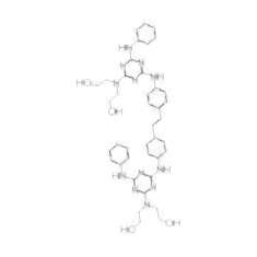 OCCN(CCO)c1nc(Nc2ccccc2)nc(Nc2ccc(C=Cc3ccc(Nc4nc(Nc5ccccc5)nc(N(CCO)CCO)n4)cc3)cc2)n1